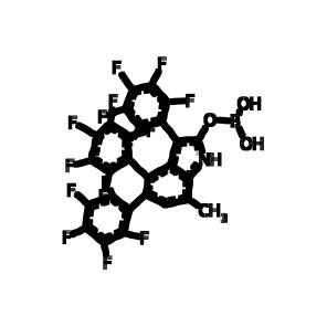 Cc1cc(-c2c(F)c(F)c(F)c(F)c2F)c(-c2c(F)c(F)c(F)c(F)c2F)c2c(-c3c(F)c(F)c(F)c(F)c3F)c(OB(O)O)[nH]c12